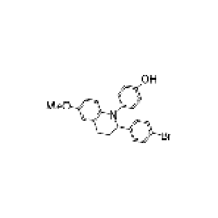 COc1ccc2c(c1)CCC(c1ccc(Br)cc1)N2c1ccc(O)cc1